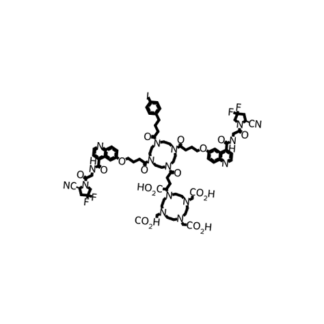 N#C[C@@H]1CC(F)(F)CN1C(=O)CNC(=O)c1ccnc2ccc(OCCCC(=O)N3CCN(C(=O)CCCc4ccc(I)cc4)CCN(C(=O)CCCOc4ccc5nccc(C(=O)NCC(=O)N6CC(F)(F)C[C@H]6C#N)c5c4)CCN(C(=O)CCC(C(=O)O)N4CCN(CC(=O)O)CCN(CC(=O)O)CCN(CC(=O)O)CC4)CC3)cc12